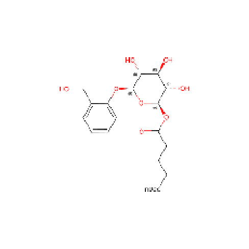 CCCCCCCCCCCCCC(=O)O[C@H]1O[C@@H](Oc2ccccc2CO)[C@H](O)[C@@H](O)[C@@H]1O